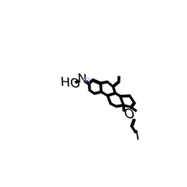 CCC1CC2=C/C(=N/O)CCC2C2CCC3(C)C(CCC3(C)OCCI)C12